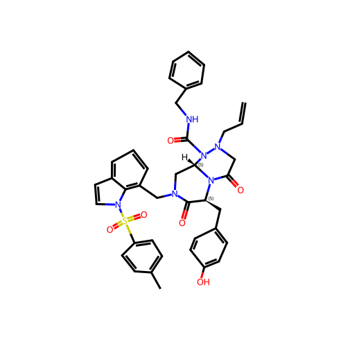 C=CCN1CC(=O)N2[C@@H](Cc3ccc(O)cc3)C(=O)N(Cc3cccc4ccn(S(=O)(=O)c5ccc(C)cc5)c34)C[C@@H]2N1C(=O)NCc1ccccc1